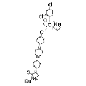 CCC(C)n1ncn(-c2ccc(N3CCN(c4ccc(OC[C@@H]5CO[C@@](Cn6nccn6)(c6ccc(Cl)cc6Cl)O5)cc4)CC3)cc2)c1=O